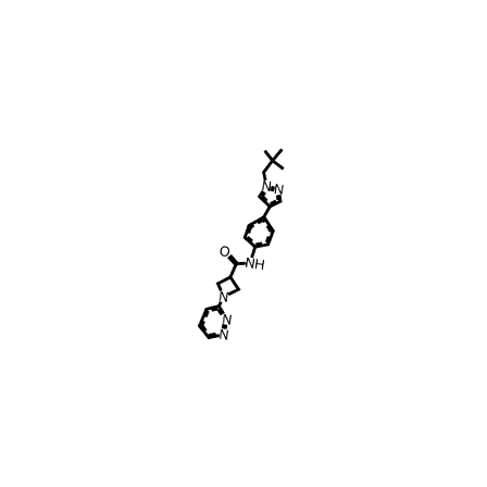 CC(C)(C)Cn1cc(-c2ccc(NC(=O)C3CN(c4cccnn4)C3)cc2)cn1